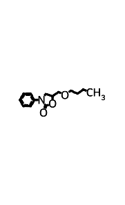 CCCCOCC1CN(c2ccccc2)C(=O)O1